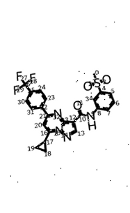 CS(=O)(=O)c1cccc(NC(=O)c2cnn3c(C4CC4)cc(-c4ccc(C(F)(F)F)cc4)nc23)c1